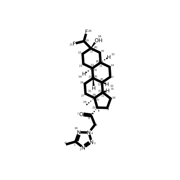 Cc1nnn(CC(=O)[C@H]2CC[C@H]3[C@@H]4CC[C@@H]5C[C@@](O)(C(F)F)CC[C@@H]5[C@H]4CC[C@]23C)n1